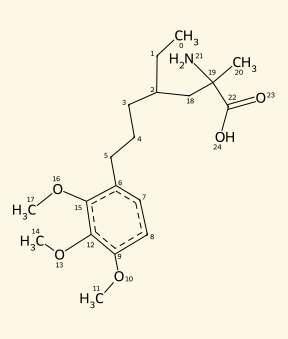 CCC(CCCc1ccc(OC)c(OC)c1OC)CC(C)(N)C(=O)O